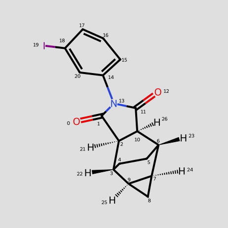 O=C1[C@@H]2[C@@H]3CC[C@@H]([C@H]4C[C@H]43)[C@@H]2C(=O)N1c1cccc(I)c1